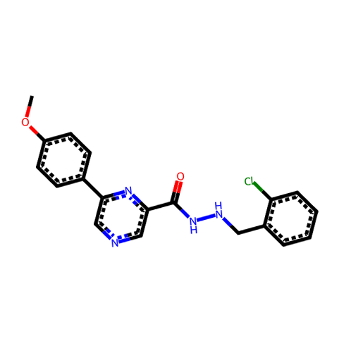 COc1ccc(-c2cncc(C(=O)NNCc3ccccc3Cl)n2)cc1